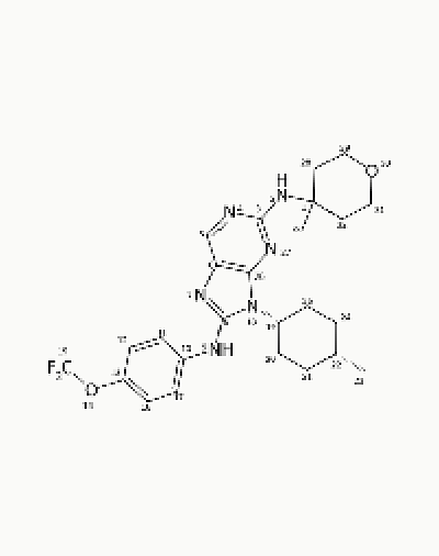 CC1(Nc2ncc3nc(Nc4ccc(OC(F)(F)F)cc4)n([C@H]4CC[C@@H](C)CC4)c3n2)CCOCC1